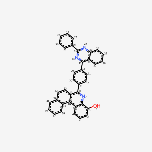 Oc1cccc2c1nc(-c1ccc(-c3nc(-c4ccccc4)nc4ccccc34)cc1)c1ccc3ccccc3c12